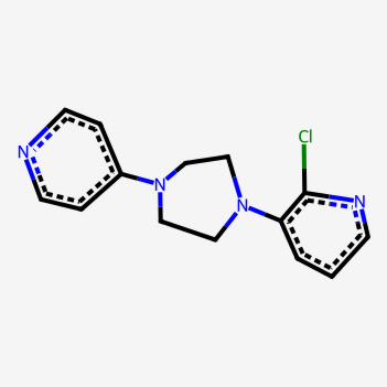 Clc1ncccc1N1CCN(c2ccncc2)CC1